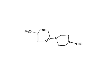 COc1ccc(N2CCN(C=O)CC2)cc1